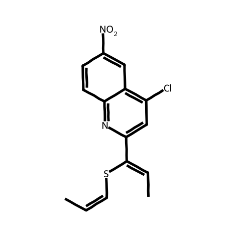 C/C=C\S/C(=C\C)c1cc(Cl)c2cc([N+](=O)[O-])ccc2n1